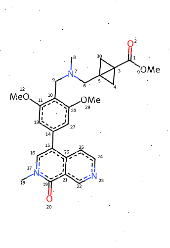 COC(=O)C12CC1(CN(C)Cc1c(OC)cc(-c3cn(C)c(=O)c4cnccc34)cc1OC)C2